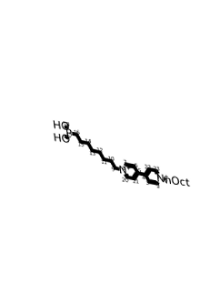 CCCCCCCC[n+]1ccc(-c2cc[n+](CCCCCCCCP(O)O)cc2)cc1